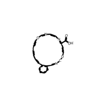 O=C(O)C1=NC=CN=COC=CC=CC=Cc2ccccc2C=NCOC=C1